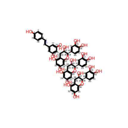 Oc1ccc(/C=C/c2cc(O)c([C@H]3c4c(O)cc(O)c([C@H]5c6c(O)cc(O)c([C@H]7c8c(O)cc(O)cc8O[C@H](c8ccc(O)c(O)c8)[C@@H]7O)c6O[C@H](c6ccc(O)c(O)c6)[C@@H]5O)c4O[C@H](c4ccc(O)c(O)c4)[C@@H]3O)c(O)c2)cc1